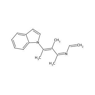 C=C/N=C(C)\C(C)=C(/C)n1ccc2ccccc21